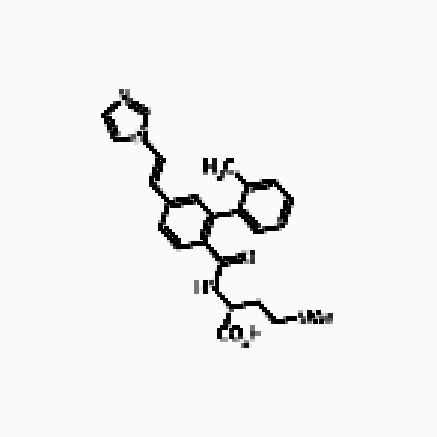 CSCC[C@H](NC(=O)c1ccc(C=Cn2ccnc2)cc1-c1ccccc1C)C(=O)O